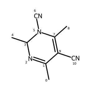 CC1=NC(C)N(C#N)C(C)=C1C#N